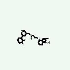 Cc1cc2c(OCCNCc3cncc(-c4cccc(F)c4F)c3)cccc2[nH]1